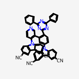 N#Cc1ccc2c(c1)c1cc(C#N)ccc1n2-c1ccc(-c2nc(-c3ccccc3)nc(-c3ccccc3)n2)c(-c2cnccc2-n2c3ccc(C#N)cc3c3cc(C#N)ccc32)c1